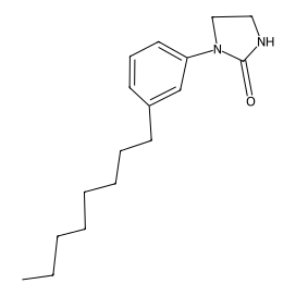 CCCCCCCCc1cccc(N2CCNC2=O)c1